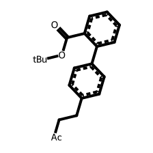 CC(=O)CCc1ccc(-c2ccccc2C(=O)OC(C)(C)C)cc1